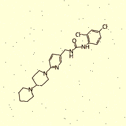 O=C(NCc1ccc(N2CCC(N3CCCCC3)CC2)nc1)Nc1ccc(Cl)cc1Cl